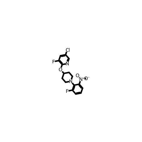 O=[N+]([O-])c1cccc(F)c1N1CCC(Oc2ncc(Cl)cc2F)CC1